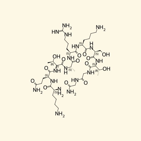 C[C@H](NC(=O)[C@@H](NC(=O)[C@H](CCC(N)=O)NC(=O)[C@@H](N)CCCCN)[C@@H](C)O)C(=O)N[C@@H](CCCNC(=N)N)C(=O)N[C@@H](CCCCN)C(=O)N[C@@H](CO)C(=O)N[C@H](C(=O)NCC(=O)NCC(N)=O)[C@@H](C)O